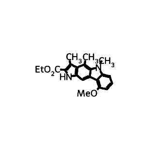 CCOC(=O)c1[nH]c2cc3c4c(OC)cccc4n(C)c3c(C)c2c1C